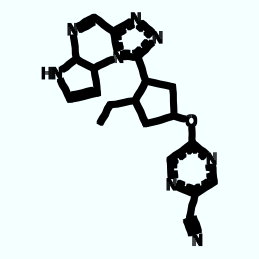 CCC1CC(Oc2cnc(C#N)cn2)CC1c1nnc2n1C1C=CNC1N=C2